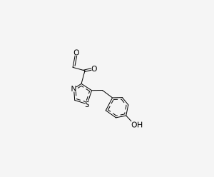 O=CC(=O)c1ncsc1Cc1ccc(O)cc1